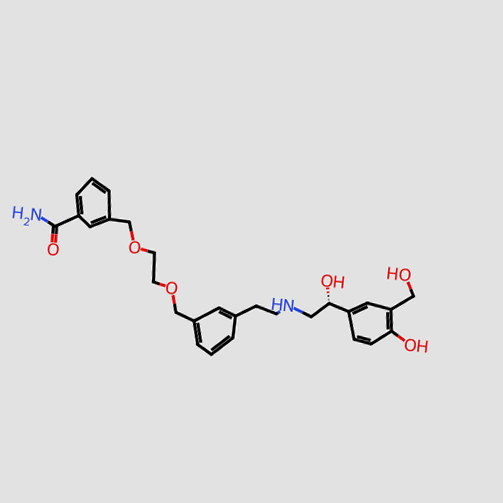 NC(=O)c1cccc(COCCOCc2cccc(CCNC[C@H](O)c3ccc(O)c(CO)c3)c2)c1